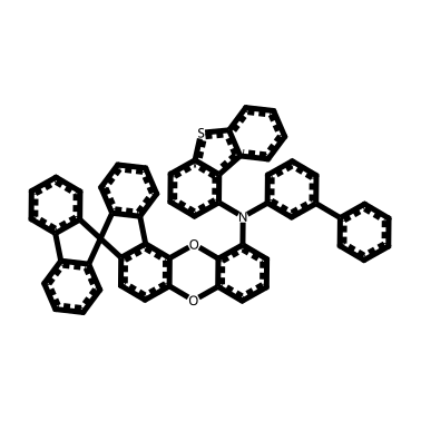 c1ccc(-c2cccc(N(c3cccc4c3Oc3c(ccc5c3-c3ccccc3C53c5ccccc5-c5ccccc53)O4)c3cccc4sc5ccccc5c34)c2)cc1